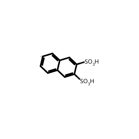 O=S(=O)(O)c1cc2c[c]ccc2cc1S(=O)(=O)O